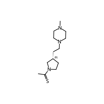 CC(=S)N1CC[C@@H](CCN2CCN(C)CC2)C1